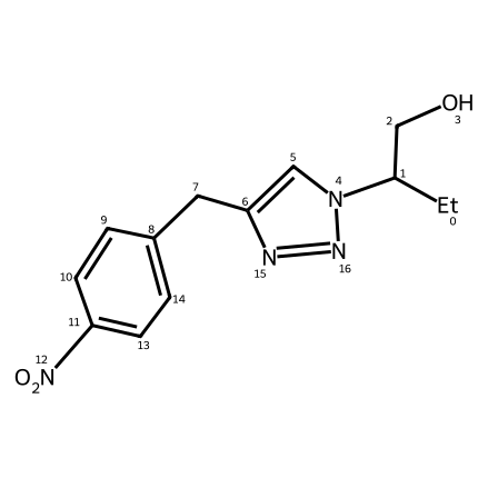 CCC(CO)n1cc(Cc2ccc([N+](=O)[O-])cc2)nn1